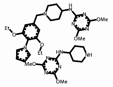 CCOc1cc(CN2CCC(Nc3nc(OC)nc(OC)n3)CC2)cc(OCC)c1-n1cccc1.COc1nc(NC2CCNCC2)nc(OC)n1